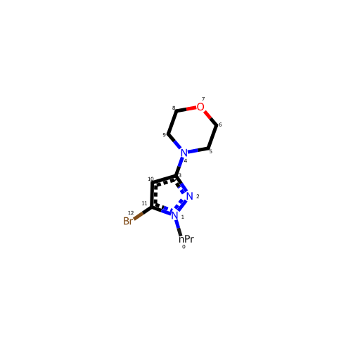 CCCn1nc(N2CCOCC2)cc1Br